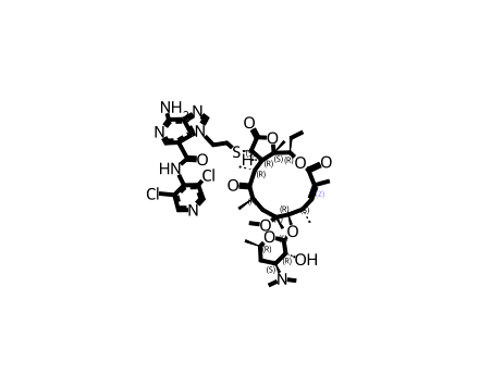 CC[C@H]1OC(=O)/C(C)=C\[C@H](C)[C@@H](O[C@@H]2O[C@H](C)C[C@H](N(C)C)[C@H]2O)[C@](C)(OC)C[C@@H](C)C(=O)[C@H](C)[C@H]2[C@H](SCCn3cnc4c(N)ncc(C(=O)Nc5c(Cl)cncc5Cl)c43)C(=O)O[C@@]21C